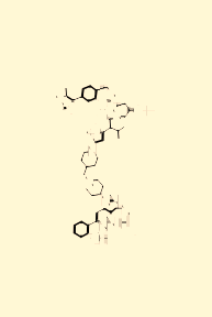 Cc1ncsc1-c1ccc([C@H](C)NC(=O)[C@@H]2C[C@@H](O)CN2C(=O)C(c2cc(N3CCC(CN4CCC(n5nc(N)c6c5C=C(c5ccccc5O)NN6)CC4)CC3)no2)C(C)C)cc1